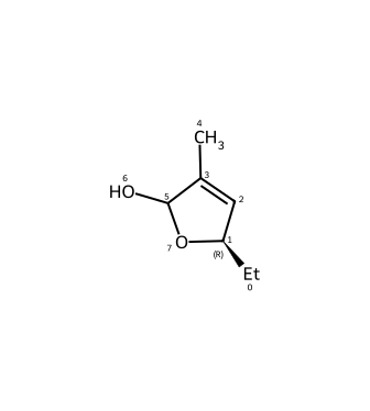 CC[C@@H]1C=C(C)C(O)O1